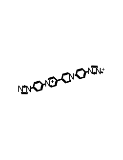 C[n+]1ccn(-c2ccc(-[n+]3ccc(-c4cc[n+](-c5ccc(-n6ccnc6)cc5)cc4)cc3)cc2)c1